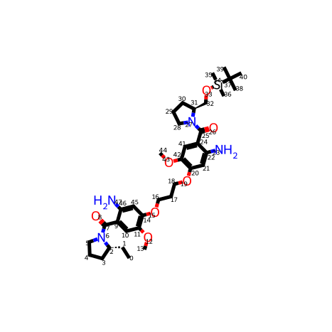 CC[C@@H]1CCCN1C(=O)c1cc(OC)c(OCCCOc2cc(N)c(C(=O)N3CCC[C@H]3CO[Si](C)(C)C(C)(C)C)cc2OC)cc1N